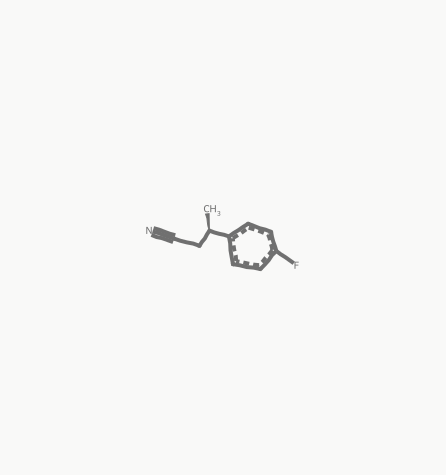 C[C@H](CC#N)c1ccc(F)cc1